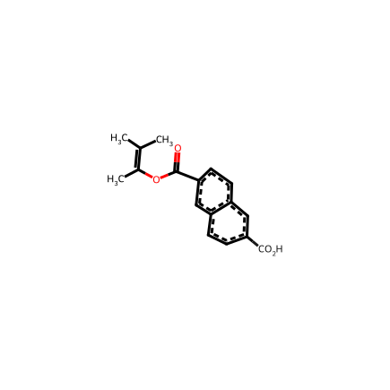 CC(C)=C(C)OC(=O)c1ccc2cc(C(=O)O)ccc2c1